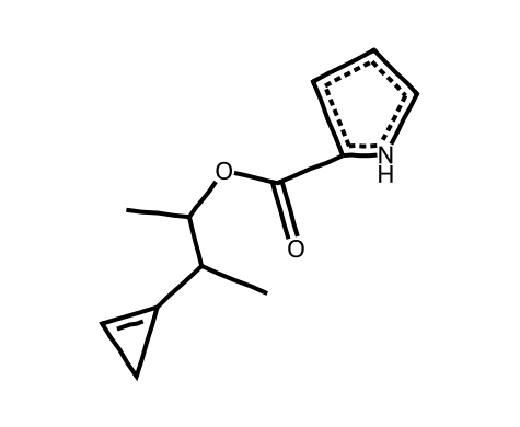 CC(OC(=O)c1ccc[nH]1)C(C)C1=CC1